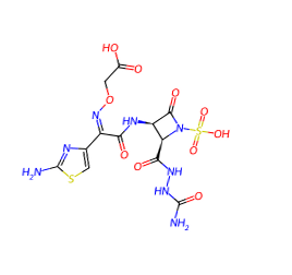 NC(=O)NNC(=O)[C@H]1[C@@H](NC(=O)/C(=N\OCC(=O)O)c2csc(N)n2)C(=O)N1S(=O)(=O)O